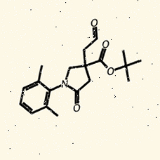 Cc1cccc(C)c1N1CC(CC=O)(C(=O)OC(C)(C)C)CC1=O